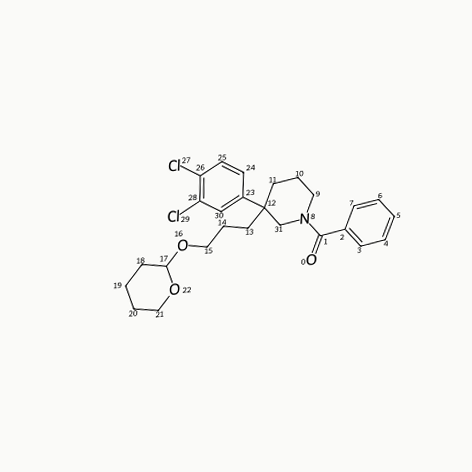 O=C(c1ccccc1)N1CCCC(CCCOC2CCCCO2)(c2ccc(Cl)c(Cl)c2)C1